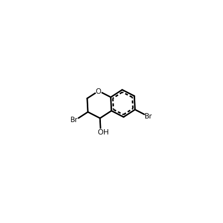 OC1c2cc(Br)ccc2OCC1Br